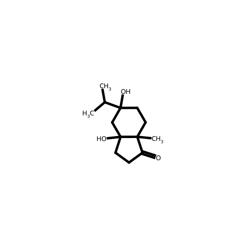 CC(C)C1(O)CCC2(C)C(=O)CCC2(O)C1